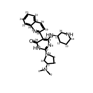 CN(C)[C@@H]1CCN(c2nc(N[C@@H]3CCCNC3)c(-c3ccc4ccccc4n3)c(=O)[nH]2)C1